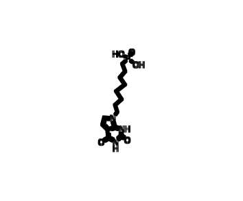 O=c1[nH]c(=O)c2ccn(CCCCCCCCP(=O)(O)O)c2[nH]1